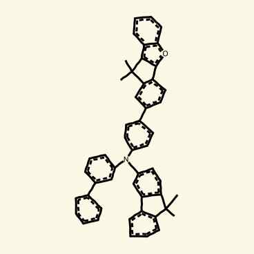 CC1(C)c2ccccc2-c2cc(N(c3ccc(-c4ccc5c(c4)C(C)(C)c4c-5oc5ccccc45)cc3)c3cccc(-c4ccccc4)c3)ccc21